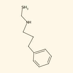 [SiH3]CNCCCc1ccccc1